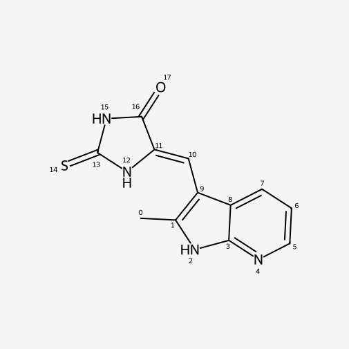 Cc1[nH]c2ncccc2c1C=C1NC(=S)NC1=O